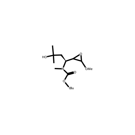 COC1OC1[C@H](CC(C)(C)O)N(C)C(=O)OC(C)(C)C